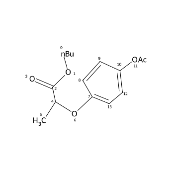 CCCCOC(=O)C(C)Oc1ccc(OC(C)=O)cc1